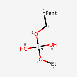 CCCCCC[O][Ti]([OH])([OH])[O]CC